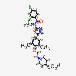 CCCCN(C(=O)c1ccc(F)cc1F)c1nnc(-c2cc(C)c(OCCN3CCC(C(=O)O)CC3)c(C)c2)s1